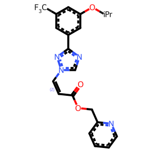 CC(C)Oc1cc(-c2ncn(/C=C\C(=O)OCc3ccccn3)n2)cc(C(F)(F)F)c1